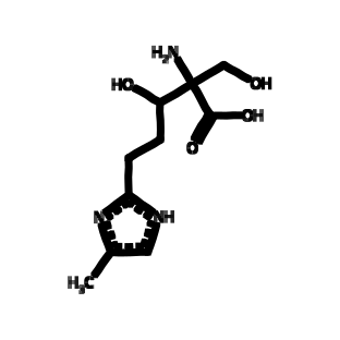 Cc1c[nH]c(CCC(O)C(N)(CO)C(=O)O)n1